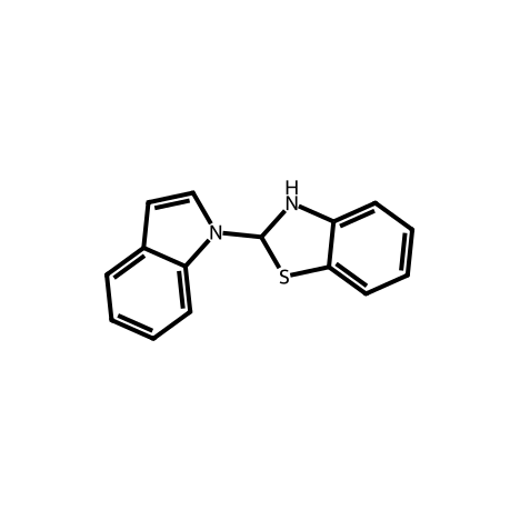 c1ccc2c(c1)NC(n1ccc3ccccc31)S2